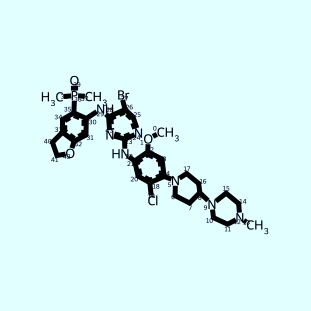 COc1cc(N2CCC(N3CCN(C)CC3)CC2)c(Cl)cc1Nc1ncc(Br)c(Nc2cc3c(cc2P(C)(C)=O)CCO3)n1